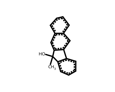 CC1(O)c2ccccc2-c2cc3ccccc3cc21